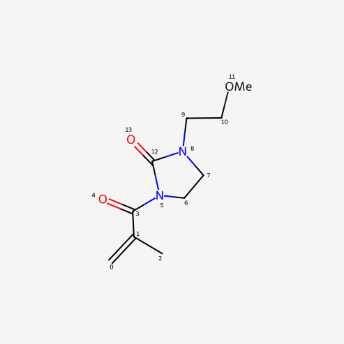 C=C(C)C(=O)N1CCN(CCOC)C1=O